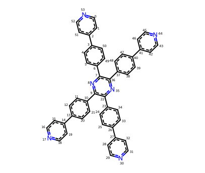 c1cc(-c2ccc(-c3nc(-c4ccc(-c5ccncc5)cc4)c(-c4ccc(-c5ccncc5)cc4)nc3-c3ccc(-c4ccncc4)cc3)cc2)ccn1